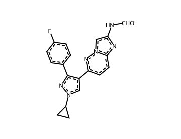 O=CNc1cn2nc(-c3cn(C4CC4)nc3-c3ccc(F)cc3)ccc2n1